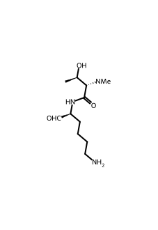 CN[C@H](C(=O)N[C@H](C=O)CCCCN)[C@@H](C)O